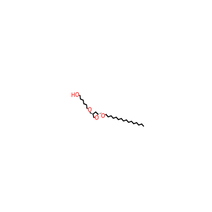 CCCCCCCCCCCCCCCCOC[C@H]1C[C@H](COCCCCCCO)CO1